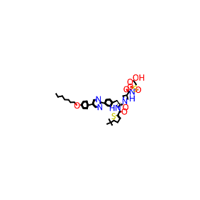 CCCCCCCOc1ccc(-c2cnc(-c3ccc(C[C@H](NC(=O)C4=CCC(C(C)(C)C)S4)C(=O)N4CC(C(=O)NS(=O)(=O)CC(=O)O)C4)cc3)nc2)cc1